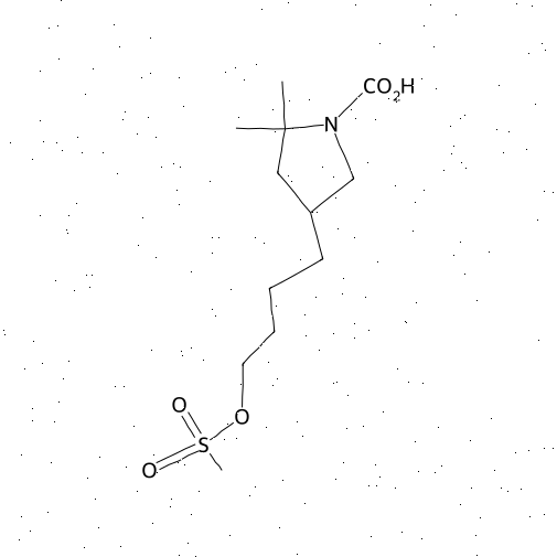 CC1(C)CC(CCCCOS(C)(=O)=O)CN1C(=O)O